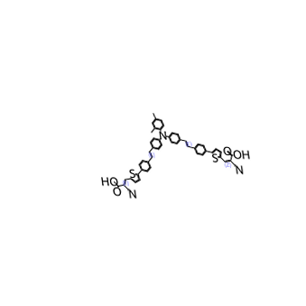 Cc1ccc(N(c2ccc(/C=C/c3ccc(-c4ccc(/C=C(/C#N)C(=O)O)s4)cc3)cc2)c2ccc(/C=C/c3ccc(-c4ccc(/C=C(\C#N)C(=O)O)s4)cc3)cc2)c(C)c1